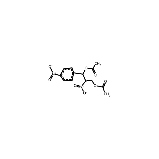 CC(=O)OCC(C(OC(C)=O)c1ccc([N+](=O)[O-])cc1)[N+](=O)[O-]